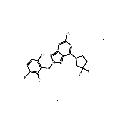 CC(C)(C)c1nc(N2CCC(F)(F)C2)c2nn(Cc3c(Cl)ccc(F)c3Cl)nc2n1